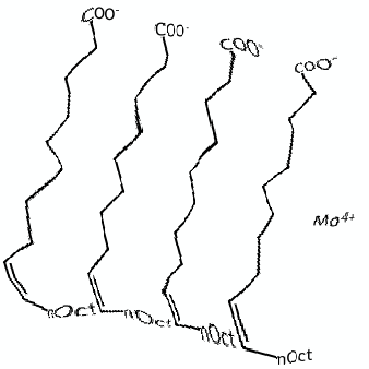 CCCCCCCC/C=C\CCCCCCCC(=O)[O-].CCCCCCCC/C=C\CCCCCCCC(=O)[O-].CCCCCCCC/C=C\CCCCCCCC(=O)[O-].CCCCCCCC/C=C\CCCCCCCC(=O)[O-].[Mo+4]